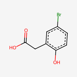 O=C(O)Cc1cc(Br)ccc1O